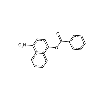 O=C(Oc1ccc([N+](=O)[O-])c2ccccc12)c1ccccc1